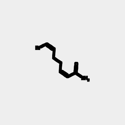 CC/C=C\CC/C=C\C(N)=O